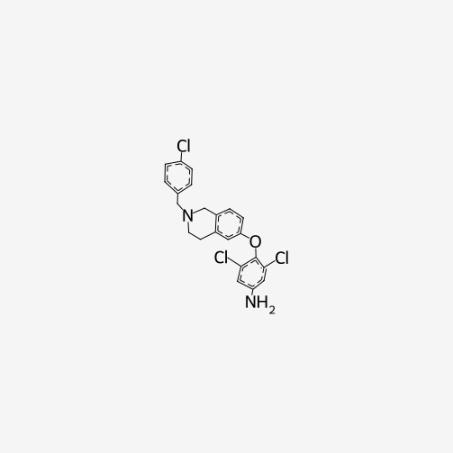 Nc1cc(Cl)c(Oc2ccc3c(c2)CCN(Cc2ccc(Cl)cc2)C3)c(Cl)c1